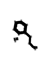 CCC(C)CCc1ccccc1.[LiH]